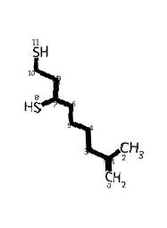 C=C(C)CCCCC(S)CCS